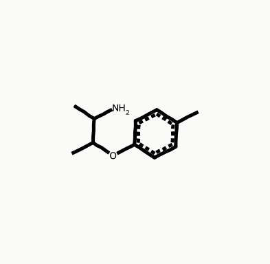 Cc1ccc(OC(C)C(C)N)cc1